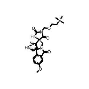 COc1ccc2c(c1)C(=O)N(C[C@@]1(c3cc[nH]n3)NC(=O)N(COCC[Si](C)(C)C)C1=O)C2